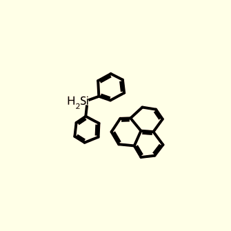 C1=Cc2cccc3cccc(c23)C1.c1ccc([SiH2]c2ccccc2)cc1